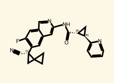 N#C[C@@]1(c2cc3cc(NC(=O)[C@@H]4C[C@H]4c4ccccn4)ncc3cc2F)CC12CC2